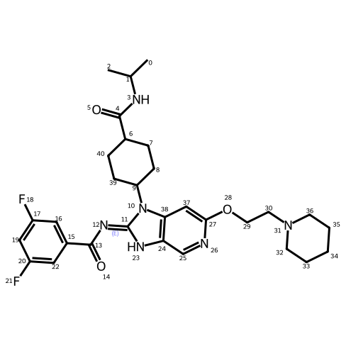 CC(C)NC(=O)C1CCC(n2/c(=N/C(=O)c3cc(F)cc(F)c3)[nH]c3cnc(OCCN4CCCCC4)cc32)CC1